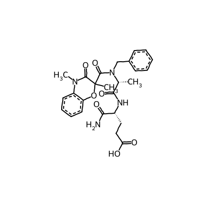 C[C@H](C(=O)N[C@H](CCC(=O)O)C(N)=O)N(Cc1ccccc1)C(=O)C1(C)Oc2ccccc2N(C)C1=O